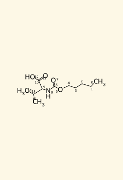 CCCCCOC(=O)NC(C(=O)O)C(C)C